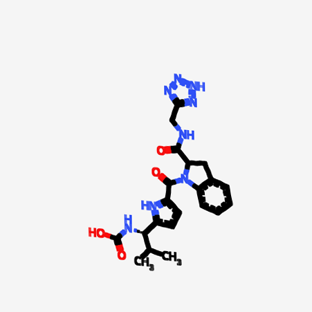 CC(C)[C@H](NC(=O)O)c1ccc(C(=O)N2c3ccccc3CC2C(=O)NCc2nn[nH]n2)[nH]1